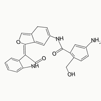 Nc1ccc(CO)c(C(=O)NC2=CCc3coc(=C4C(=O)Nc5ccccc54)c3=C2)c1